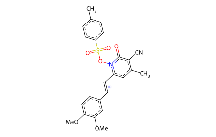 COc1ccc(/C=C/c2cc(C)c(C#N)c(=O)n2OS(=O)(=O)c2ccc(C)cc2)cc1OC